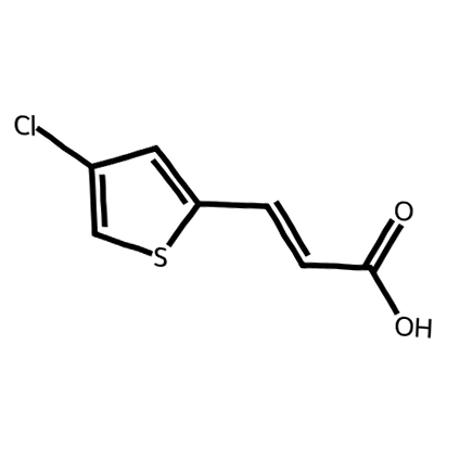 O=C(O)C=Cc1cc(Cl)cs1